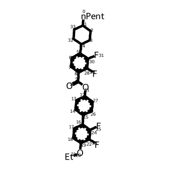 CCCCCC1CCC(c2ccc(C(=O)Oc3ccc(-c4ccc(OCC)c(F)c4F)cc3)c(F)c2F)CC1